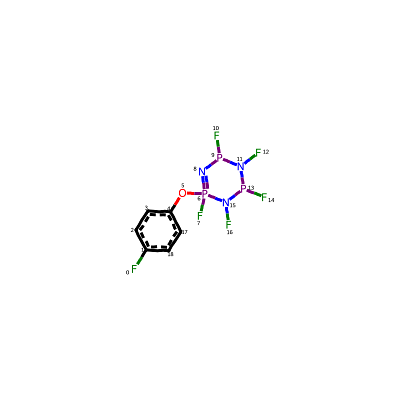 Fc1ccc(OP2(F)=NP(F)N(F)P(F)N2F)cc1